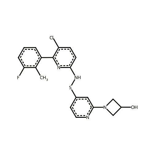 Cc1c(F)cccc1-c1nc(NSc2ccnc(N3CC(O)C3)c2)ccc1Cl